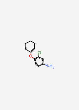 Nc1ccc(OC2=C[CH]CC=C2)c(Cl)c1